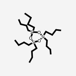 CCCC[Si]1(CCCC)O[Si](CCCC)(CCCC)O[Si](CCCC)(CCCC)O1